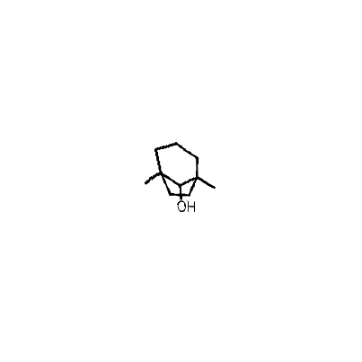 CC12CCCC(C)(CC1)C2O